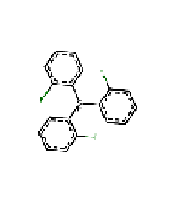 Fc1ccccc1[SiH](c1ccccc1F)c1ccccc1F